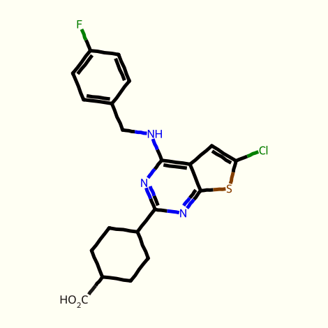 O=C(O)C1CCC(c2nc(NCc3ccc(F)cc3)c3cc(Cl)sc3n2)CC1